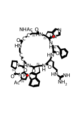 CC(=O)N[C@H]1CCC(=O)NCCC[C@@H](C(=O)N2CCC[C@H]2C(=O)N2CCC[C@H]2C(C)=O)NC(=O)[C@H](Cc2c[nH]c3ccccc23)NC(=O)[C@H](CCCNC(=N)N)NC(=O)[C@@H](Cc2ccccc2)NC(=O)[C@H](Cc2cnc[nH]2)NC1=O